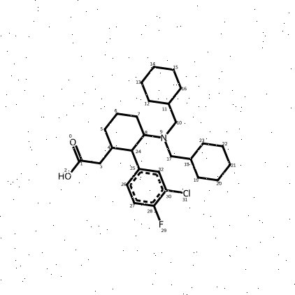 O=C(O)CC1CCCC(N(CC2CCCCC2)CC2CCCCC2)C1c1ccc(F)c(Cl)c1